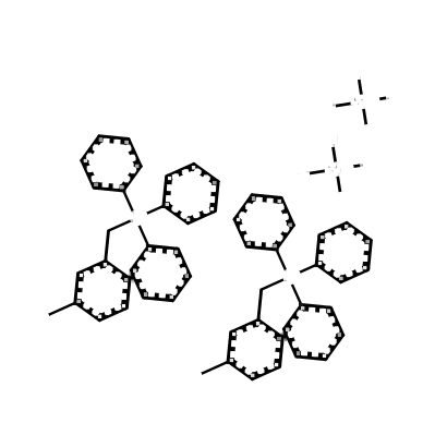 Cc1cccc(C[P+](c2ccccc2)(c2ccccc2)c2ccccc2)c1.Cc1cccc(C[P+](c2ccccc2)(c2ccccc2)c2ccccc2)c1.[Cl][Mn-]([Cl])([Cl])[Cl].[Cl][Mn-]([Cl])([Cl])[Cl]